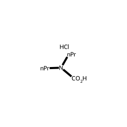 CCCN(CCC)C(=O)O.Cl